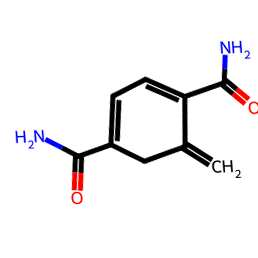 C=C1CC(C(N)=O)=CC=C1C(N)=O